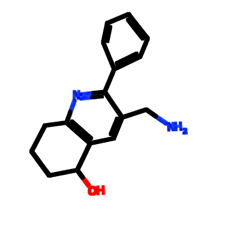 NCc1cc2c(nc1-c1ccccc1)CCCC2O